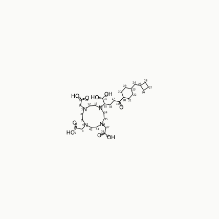 O=C(O)CN1CCN(CC(=O)O)CCN(C(CCC(=O)C2CCC(CC3CCC3)CC2)C(O)O)CCN(CC(=O)O)CC1